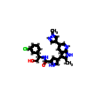 Cc1[nH]c2ncc(-c3cnn(C)c3)cc2c1-c1c[nH]c(C(=O)NC(CO)c2cccc(Cl)c2)c1